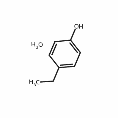 CCc1ccc(O)cc1.O